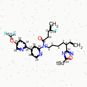 C=CC(CCCCN(C(=O)CCC(=C)F)c1cc(-c2ccc(OC(F)F)cn2)ccn1)c1noc(C(C)(C)C)n1